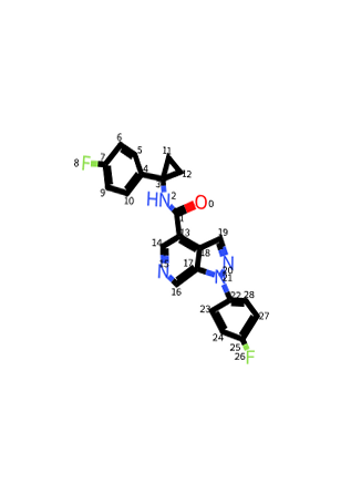 O=C(NC1(c2ccc(F)cc2)CC1)c1cncc2c1cnn2-c1ccc(F)cc1